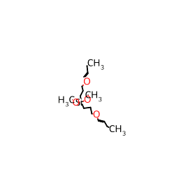 CCC=COCCC[Si](CCCOC=CCC)(OC)OC